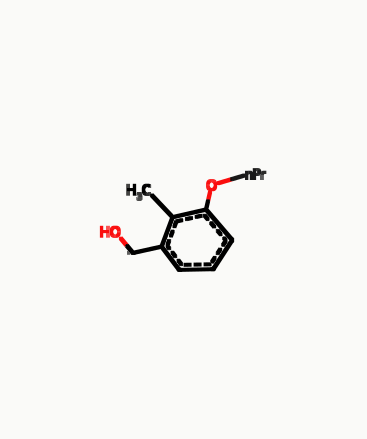 CCCOc1cccc([CH]O)c1C